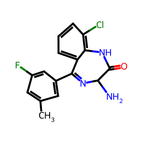 Cc1cc(F)cc(C2=NC(N)C(=O)Nc3c(Cl)cccc32)c1